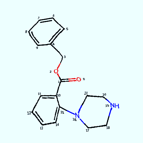 O=C(OCc1ccccc1)c1ccccc1N1CCNCC1